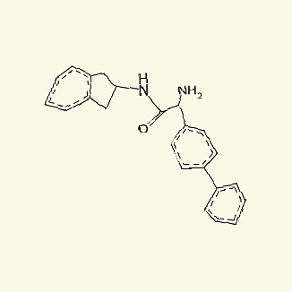 NC(C(=O)NC1Cc2ccccc2C1)c1ccc(-c2ccccc2)cc1